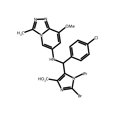 COc1cc(NC(c2ccc(Cl)cc2)c2c(C(=O)O)nc(Br)n2C(C)C)cn2c(C)nnc12